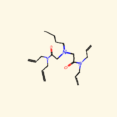 C=CCN(CC=C)C(=O)CN(CCCC)CC(=O)N(CC=C)CC=C